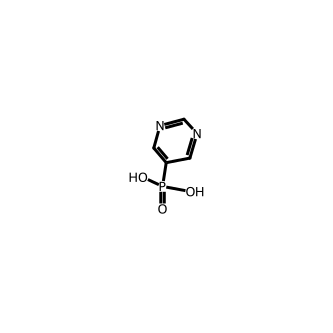 O=P(O)(O)c1cncnc1